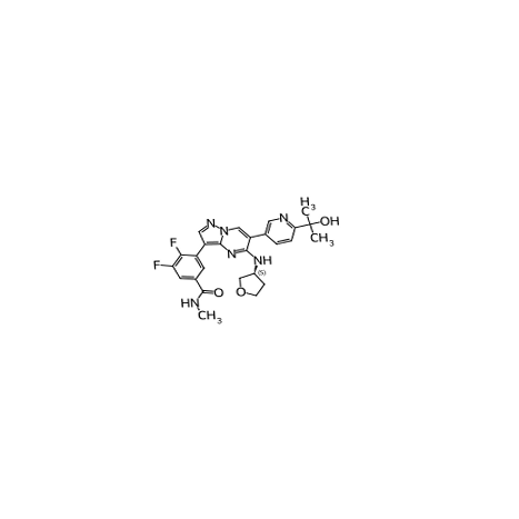 CNC(=O)c1cc(F)c(F)c(-c2cnn3cc(-c4ccc(C(C)(C)O)nc4)c(N[C@H]4CCOC4)nc23)c1